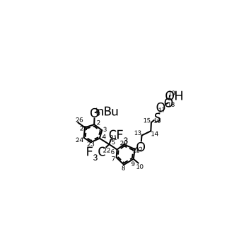 CCCCOc1cc(C(c2ccc(C)c(OCCCSOOO)c2)(C(F)(F)F)C(F)(F)F)ccc1C